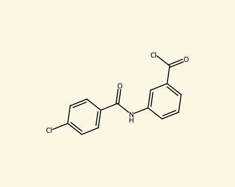 O=C(Cl)c1cccc(NC(=O)c2ccc(Cl)cc2)c1